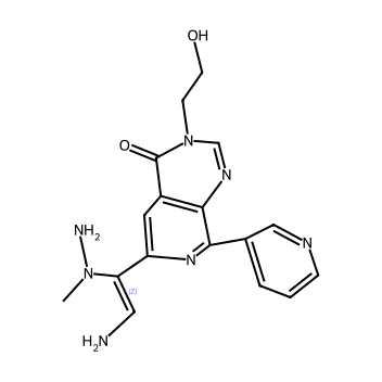 CN(N)/C(=C\N)c1cc2c(=O)n(CCO)cnc2c(-c2cccnc2)n1